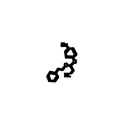 CCC(C)c1ccc(OC(CC#N)OCCc2ccccc2)cc1